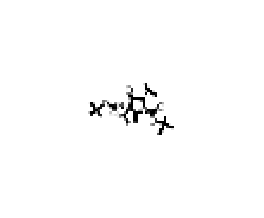 C=C1N(C(=O)OC(C)(C)C)[C@H](C(C)C)C(=O)[C@]1(NC(=O)OC(C)(C)C)C(C)C